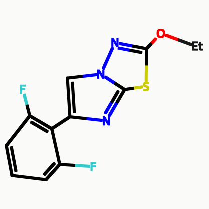 CCOc1nn2cc(-c3c(F)cccc3F)nc2s1